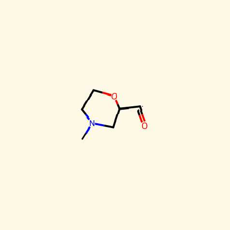 CN1CCOC([C]=O)C1